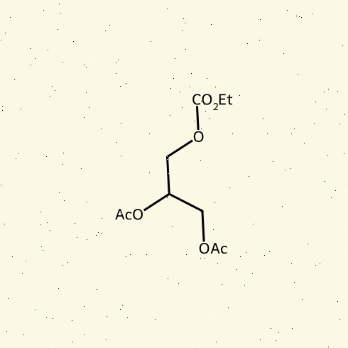 CCOC(=O)OCC(COC(C)=O)OC(C)=O